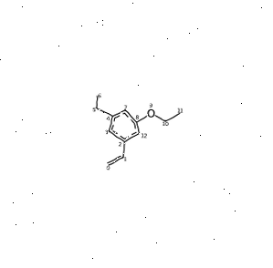 C=Cc1cc(CC)cc(OCC)c1